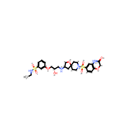 CCNS(=O)(=O)c1cccc(OC[C@@H](O)CNC2COC3(CCN(S(=O)(=O)c4ccc5c(c4)NC(=O)CO5)CC3)C2)c1